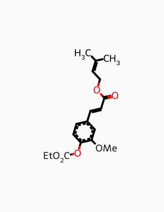 CCOC(=O)Oc1ccc(C=CC(=O)OCC=C(C)C)cc1OC